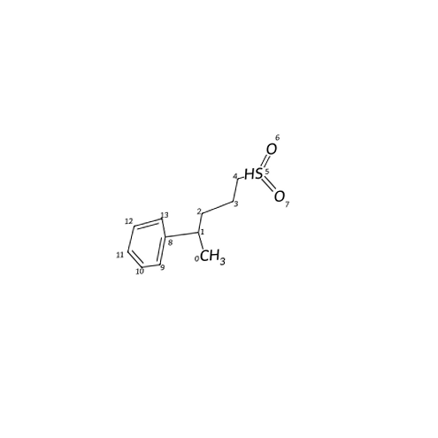 CC(CCC[SH](=O)=O)c1ccccc1